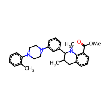 COC(=O)c1cccc2c1N(C)C(c1cccc(N3CCN(c4ccccc4C)CC3)c1)C(C)C2